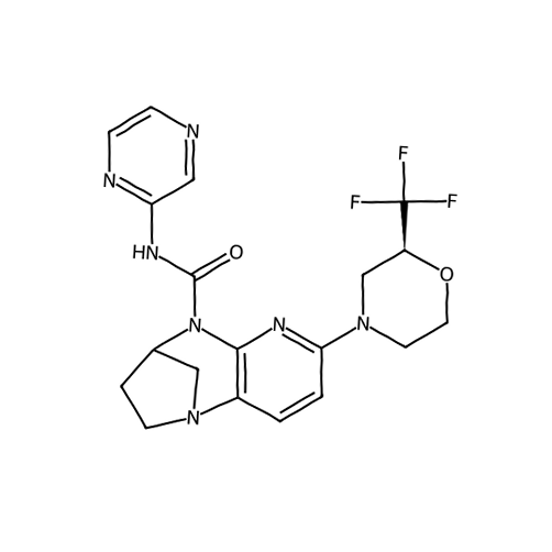 O=C(Nc1cnccn1)N1c2nc(N3CCO[C@H](C(F)(F)F)C3)ccc2N2CCC1C2